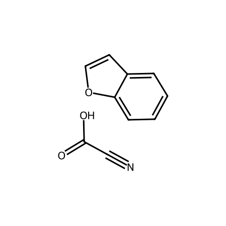 N#CC(=O)O.c1ccc2occc2c1